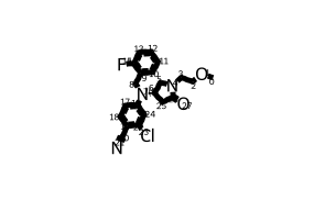 COCCN1C[C@@H](N(Cc2ccccc2F)c2ccc(C#N)c(Cl)c2)CC1=O